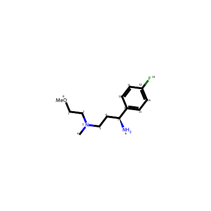 COCCN(C)CC[C@H](N)c1ccc(F)cc1